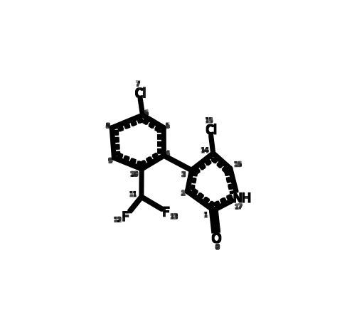 O=c1cc(-c2cc(Cl)ccc2C(F)F)c(Cl)c[nH]1